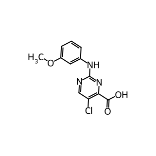 COc1cccc(Nc2ncc(Cl)c(C(=O)O)n2)c1